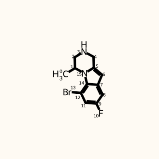 CC1CNCc2cc3cc(F)cc(Br)c3n21